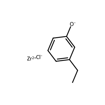 CCc1cccc([O-])c1.[Cl-].[Zr+2]